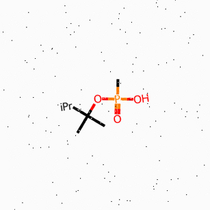 CC(C)C(C)(C)OP(C)(=O)O